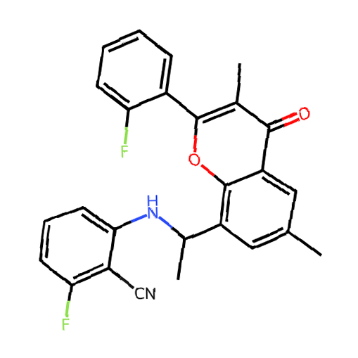 Cc1cc(C(C)Nc2cccc(F)c2C#N)c2oc(-c3ccccc3F)c(C)c(=O)c2c1